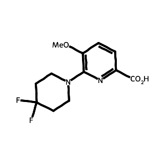 COc1ccc(C(=O)O)nc1N1CCC(F)(F)CC1